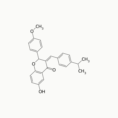 COc1ccc(C2Oc3ccc(O)cc3C(=O)C2=Cc2ccc(C(C)C)cc2)cc1